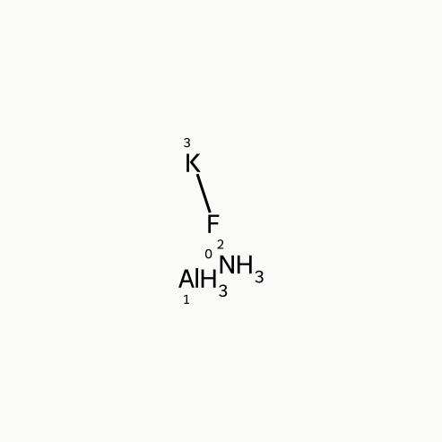 N.[AlH3].[F][K]